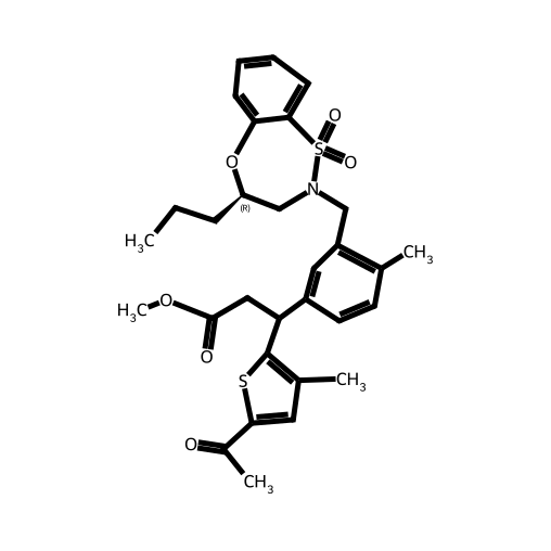 CCC[C@@H]1CN(Cc2cc(C(CC(=O)OC)c3sc(C(C)=O)cc3C)ccc2C)S(=O)(=O)c2ccccc2O1